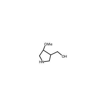 COC1CNCC1CO